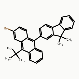 CC(C)(C)c1c2ccccc2c(-c2ccc3c(c2)C(C)(C)c2ccccc2-3)c2ccc(Br)cc12